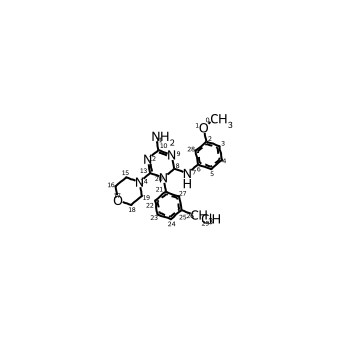 COc1cccc(NC2N=C(N)N=C(N3CCOCC3)N2c2cccc(C)c2)c1.Cl